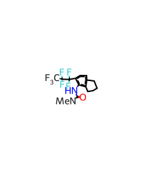 CNC(=O)Nc1c(C(F)(F)C(F)(F)C(F)(F)F)ccc2c1CCCC2